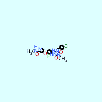 CCn1c(=O)[nH]/c(=N\c2ccc(Oc3ccnc(C(=O)NC)c3)c(F)c2)n(Cc2ccc(Cl)cc2)c1=O